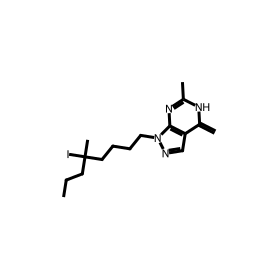 C=C1NC(C)=Nc2c1cnn2CCCCC(C)(I)CCC